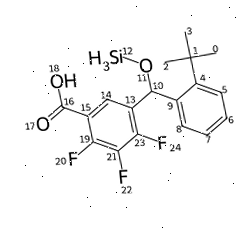 CC(C)(C)c1ccccc1C(O[SiH3])c1cc(C(=O)O)c(F)c(F)c1F